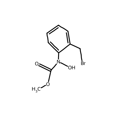 COC(=O)N(O)c1ccccc1CBr